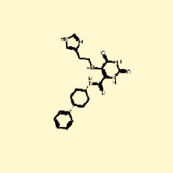 O=C(N[C@H]1CC[C@@H](c2ccccc2)CC1)c1[nH]c(=O)[nH]c(=O)c1NCCc1c[nH]cn1